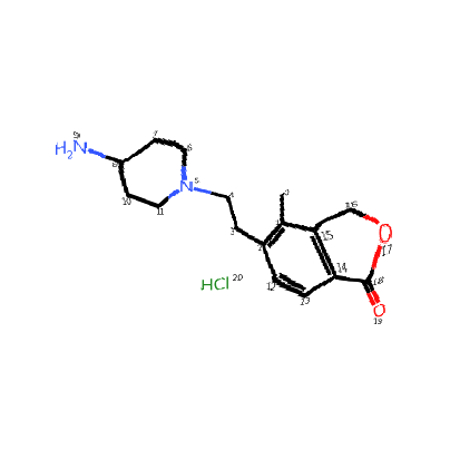 Cc1c(CCN2CCC(N)CC2)ccc2c1COC2=O.Cl